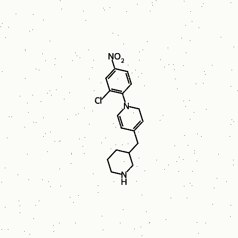 O=[N+]([O-])c1ccc(N2C=CC(CC3CCCNC3)=CC2)c(Cl)c1